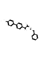 C/C(=N/OC(=O)c1ccccc1)C(=O)c1ccc(-c2ccc([N+](=O)[O-])cc2)cc1